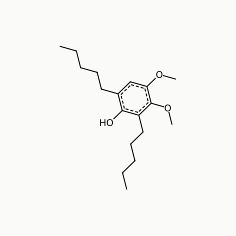 CCCCCc1cc(OC)c(OC)c(CCCCC)c1O